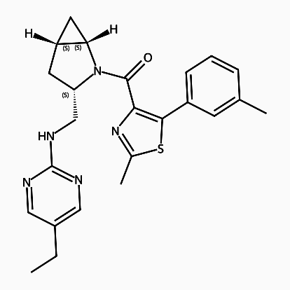 CCc1cnc(NC[C@@H]2C[C@@H]3C[C@@H]3N2C(=O)c2nc(C)sc2-c2cccc(C)c2)nc1